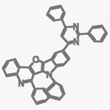 c1ccc(-c2cc(-c3ccc4c(c3)c3oc5c6ccccc6nc(-c6ccccc6)c5c3n4-c3ccccc3)nc(-c3ccccc3)n2)cc1